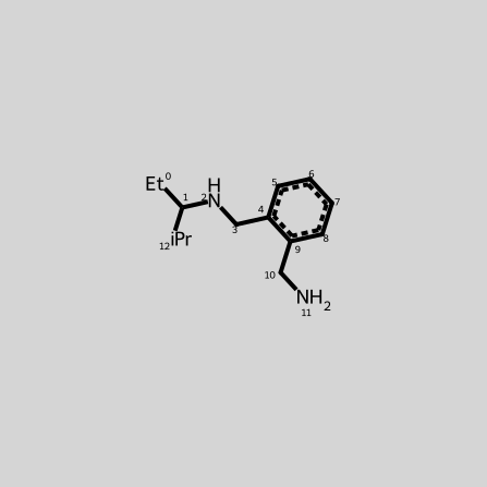 CCC(NCc1ccccc1CN)C(C)C